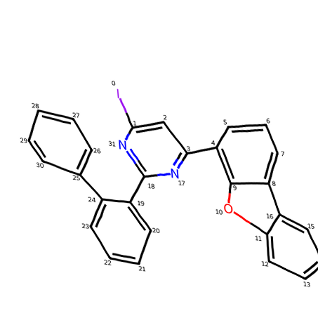 Ic1cc(-c2cccc3c2oc2ccccc23)nc(-c2ccccc2-c2ccccc2)n1